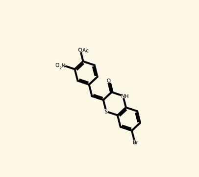 CC(=O)Oc1ccc(C=C2Sc3cc(Br)ccc3NC2=O)cc1[N+](=O)[O-]